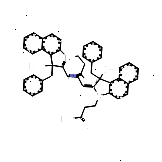 CC1(Cc2ccccc2)C(/C=C/C=C2/N(CCC(=O)O)c3ccc4ccccc4c3C2(C)Cc2ccccc2)=[N+](CCC(=O)O)c2ccc3ccccc3c21